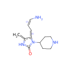 C=c1[nH]c(=O)n(C2CCNCC2)/c1=C/C=C\N